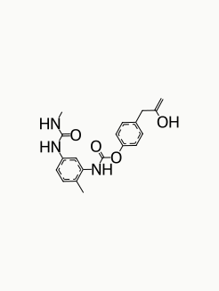 C=C(O)Cc1ccc(OC(=O)Nc2cc(NC(=O)NC)ccc2C)cc1